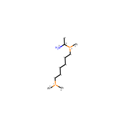 CC(C)P(CCCCCCP(C(C)C)C(C)N)C(C)C